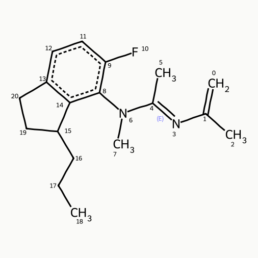 C=C(C)/N=C(\C)N(C)c1c(F)ccc2c1C(CCC)CC2